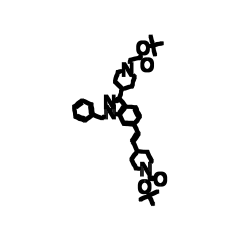 CC(C)(C)OC(=O)CN1CCC(c2nn(Cc3ccccc3)c3cc(C=CC4CCN(C(=O)OC(C)(C)C)CC4)ccc23)CC1